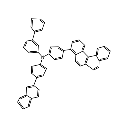 c1ccc(-c2cccc(N(c3ccc(-c4ccc5ccccc5c4)cc3)c3ccc(-c4cccc5c4ccc4ccc6ccccc6c45)cc3)c2)cc1